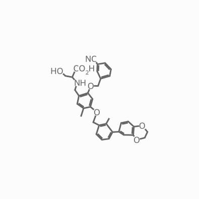 Cc1cc(CNC(CO)C(=O)O)c(OCc2cccc(C#N)c2)cc1OCc1cccc(-c2ccc3c(c2)OCCO3)c1C